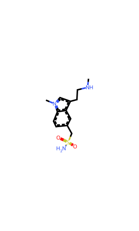 CNCCc1cn(C)c2ccc(CS(N)(=O)=O)cc12